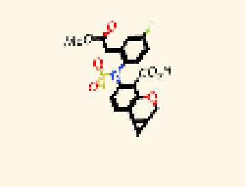 COC(=O)Cc1cc(F)ccc1N(c1ccc2c(c1C(=O)O)OCC1CC21)[SH](=O)=O